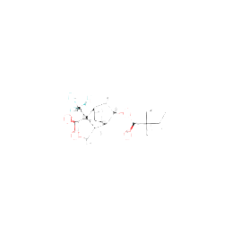 CCC(C)(C)C(=O)OC1CC2CC1C1COC(=O)C21C(F)(F)F